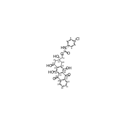 O=C(Nc1ccc(Cl)cc1)OC[C@@]1(O)Cc2c(O)c3c(c(O)c2[C@@H](O)C1)C(=O)c1ccccc1C3=O